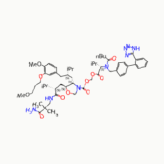 CCCCC(=O)N(Cc1ccc(-c2ccccc2-c2nnn[nH]2)cc1)[C@H](C(=O)OCOC(=O)N1CO[C@@H](C[C@H](C(=O)NCC(C)(C)C(N)=O)C(C)C)[C@@H]1C[C@H](Cc1ccc(OC)c(OCCCOC)c1)C(C)C)C(C)C